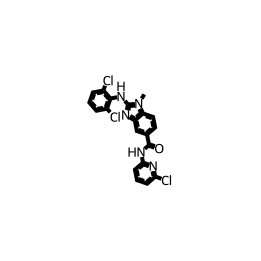 Cn1c(Nc2c(Cl)cccc2Cl)nc2cc(C(=O)Nc3cccc(Cl)n3)ccc21